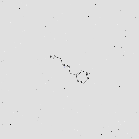 PC/C=N/Cc1ccccc1